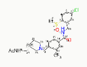 CC[S+]([O-])c1ccc(Cl)cc1CNC(=O)c1ccc(CN2CCC[C@@H](CNC(C)=O)C2)c(C(F)(F)F)c1